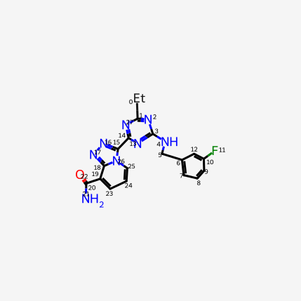 CCc1nc(NCc2cccc(F)c2)nc(-c2nnc3c(C(N)=O)cccn23)n1